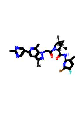 CC(=O)c1nn(CC(=O)N2C[C@H]3C[C@H]3[C@H]2C(=O)Nc2nc(Br)c(F)cc2C)c2c(C)nc(-c3cnc(C)nc3)cc12